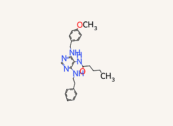 CCCCC(=O)Nc1c(NCCc2ccccc2)ncnc1NCc1ccc(OC)cc1